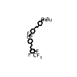 CCCCOC1CCC(/C=C/C2CCC(C(F)(F)OC3CCC(CCc4cc(F)c(C(F)(F)F)c(F)c4)CC3)CC2)CC1